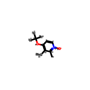 [2H]C([2H])([2H])Oc1cc[n+]([O-])c(C)c1OC